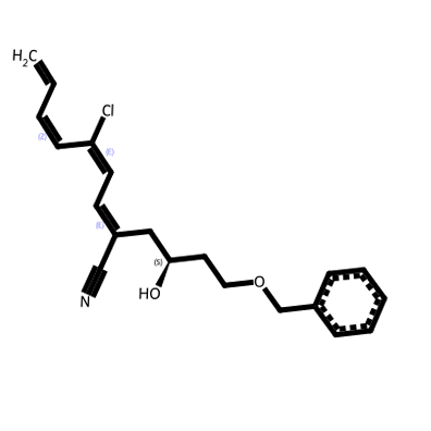 C=C\C=C/C(Cl)=C\C=C(\C#N)C[C@H](O)CCOCc1ccccc1